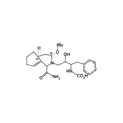 CC(C)(C)O[C@H]1C[C@@H]2CCCC=C2C(C(N)=O)N1CC(O)C(Cc1ccccc1)NC(=O)O